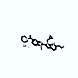 C=C(c1ccc2c(c1)nc(-c1cc3ccc(CCI)nc3n1CC1CC1)n2C)N1CCC[C@@H](N)C1